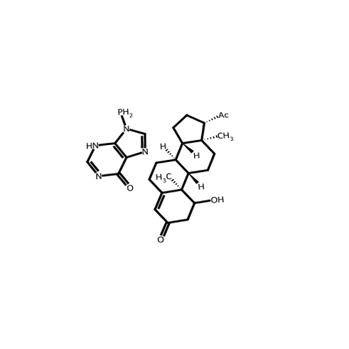 CC(=O)[C@H]1CC[C@H]2[C@@H]3CCC4=CC(=O)CC(O)[C@]4(C)[C@H]3CC[C@]12C.O=c1nc[nH]c2c1ncn2P